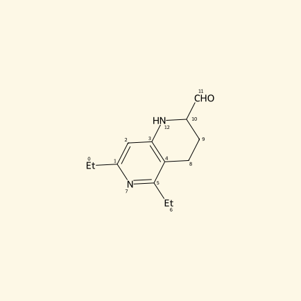 CCc1cc2c(c(CC)n1)CCC(C=O)N2